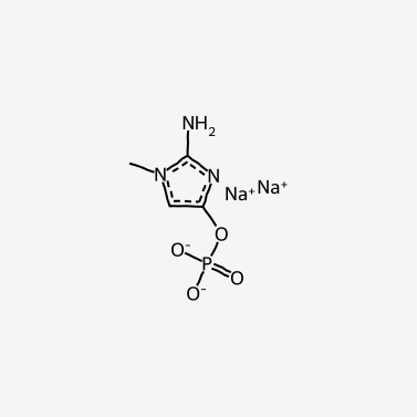 Cn1cc(OP(=O)([O-])[O-])nc1N.[Na+].[Na+]